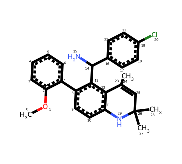 COc1ccccc1-c1ccc2c(c1C(N)c1ccc(Cl)cc1)C(C)=CC(C)(C)N2